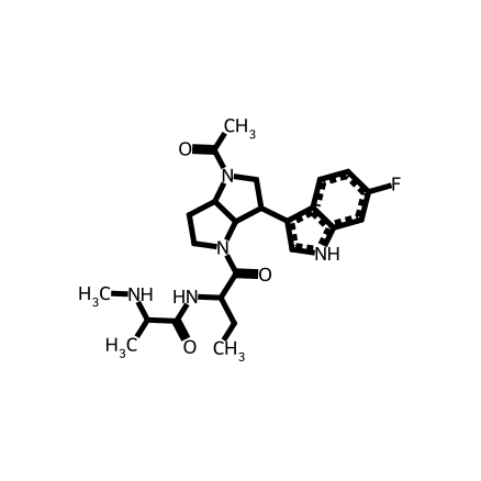 CCC(NC(=O)C(C)NC)C(=O)N1CCC2C1C(c1c[nH]c3cc(F)ccc13)CN2C(C)=O